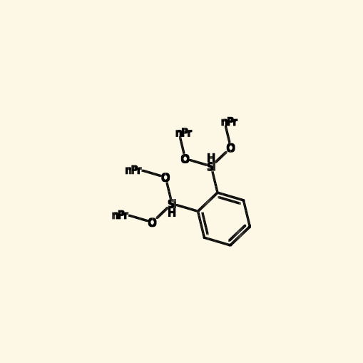 CCCO[SiH](OCCC)c1ccccc1[SiH](OCCC)OCCC